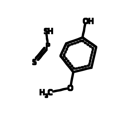 COc1ccc(O)cc1.S=PS